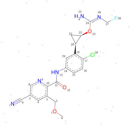 COCc1cc(C#N)cnc1C(=O)Nc1ccc(Cl)c([C@H]2C[C@H]2O/C(N)=N\CF)c1